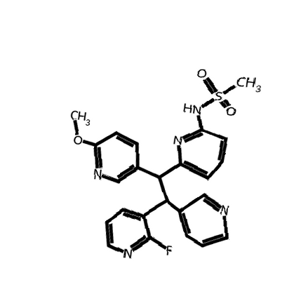 COc1ccc(C(c2cccc(NS(C)(=O)=O)n2)C(c2cccnc2)c2cccnc2F)cn1